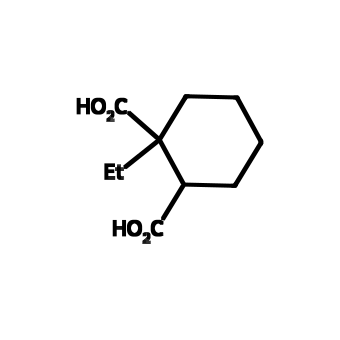 [CH2]CC1(C(=O)O)CCCCC1C(=O)O